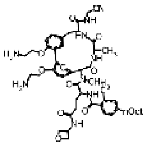 CCCCCCCCc1ccc(C(=O)NC(CCC(=O)NC2COC2)C(=O)N(C)C2C(=O)NC(C)C(=O)NC(C(=O)NCC#N)Cc3ccc(OCCN)c(c3)-c3cc2ccc3OCCN)c(C)c1